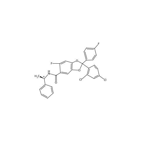 C[C@@H](NC(=O)c1cc2c(cc1F)OC(c1ccc(F)cc1)(c1ccc(Cl)cc1Cl)O2)c1ccccc1